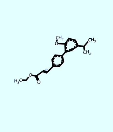 CCOC(=O)/C=C/c1ccc(-c2cc(C(C)C)ccc2OC)cc1